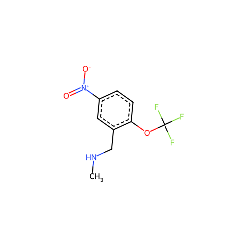 CNCc1cc([N+](=O)[O-])ccc1OC(F)(F)F